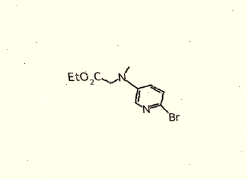 CCOC(=O)CN(C)c1ccc(Br)nc1